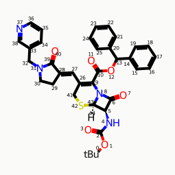 CC(C)(C)OC(=O)N[C@@H]1C(=O)N2C(C(=O)OC(c3ccccc3)c3ccccc3)=C(/C=C3\CCN(Cc4cccnc4)C3=O)CS[C@H]12